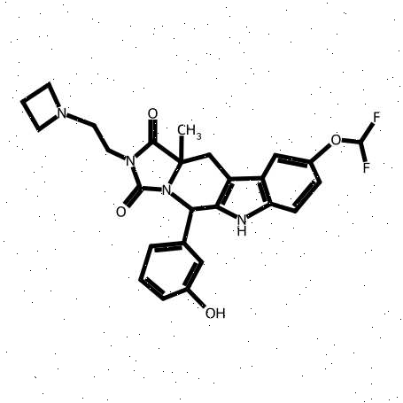 CC12Cc3c([nH]c4ccc(OC(F)F)cc34)C(c3cccc(O)c3)N1C(=O)N(CCN1CCC1)C2=O